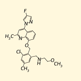 COCCNCc1cc(C)cc(Cl)c1COc1cccc2c(-n3cc(F)cn3)cc(C)nc12